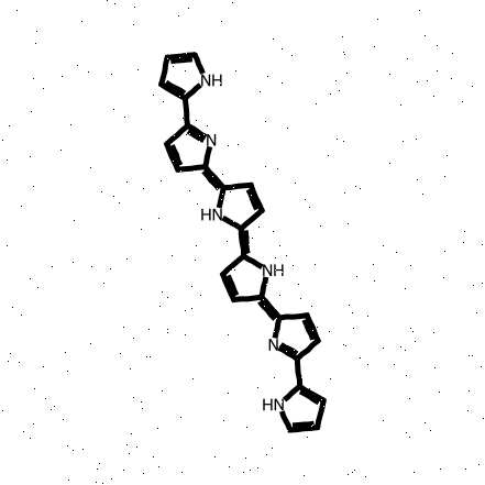 C1=C/C(=c2/cc/c(=c3/cc/c(=C4/C=CC(c5ccc[nH]5)=N4)[nH]3)[nH]2)N=C1c1ccc[nH]1